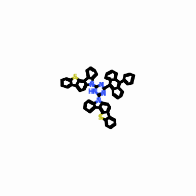 c1ccc(-c2c3ccccc3c(C3=NC(n4c5ccccc5c5c6sc7ccccc7c6ccc54)NC(n4c5ccccc5c5c6sc7ccccc7c6ccc54)=N3)c3ccccc23)cc1